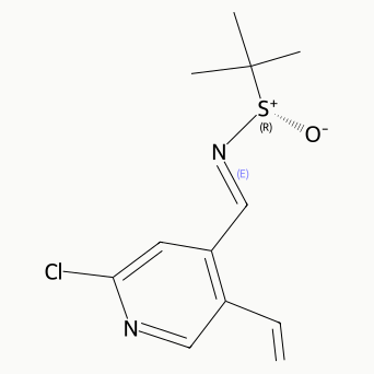 C=Cc1cnc(Cl)cc1/C=N/[S@@+]([O-])C(C)(C)C